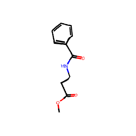 COC(=O)CCNC(=O)c1ccccc1